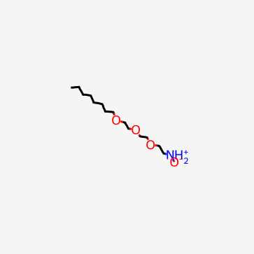 CCCCCCCCOCCOCCOCC[NH2+][O-]